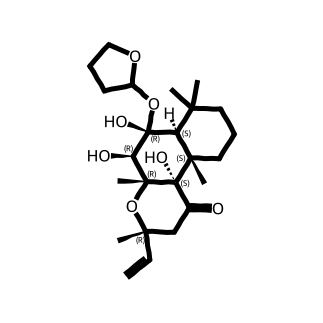 C=C[C@@]1(C)CC(=O)[C@]2(O)[C@@]3(C)CCCC(C)(C)[C@@H]3[C@@](O)(OC3CCCO3)[C@H](O)[C@@]2(C)O1